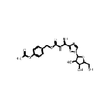 CC(=O)Oc1ccc(COC(=O)NC(=N)c2ncn(C3OC(CO)C(O)C3O)n2)cc1